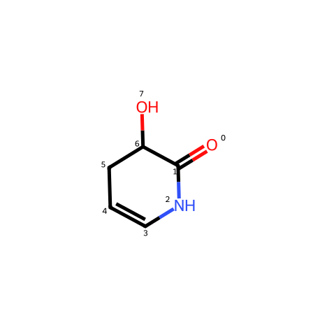 O=C1NC=CCC1O